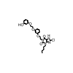 CCCCCn1c(=O)n(CCOc2cccc(OCCOc3cccc(O)c3)c2)c(=O)c2[nH]c(Cl)nc21